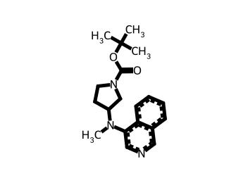 CN(c1cncc2ccccc12)C1CCN(C(=O)OC(C)(C)C)C1